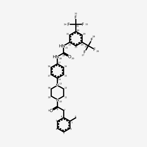 Cc1ccccc1CC(=O)N1CCN(c2ccc(NC(=O)Nc3cc(C(F)(F)F)cc(C(F)(F)F)c3)cc2)CC1